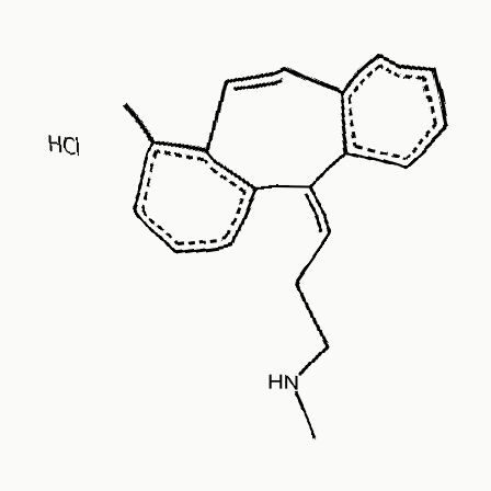 CNCCC=C1c2ccccc2C=Cc2c(C)cccc21.Cl